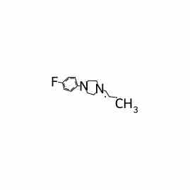 CC[CH]CN1CCN(c2ccc(F)cc2)CC1